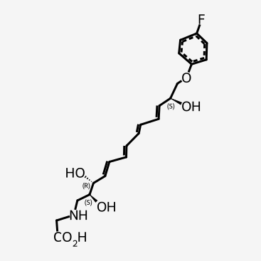 O=C(O)CNC[C@H](O)[C@H](O)C=CC=CC=CC=C[C@H](O)COc1ccc(F)cc1